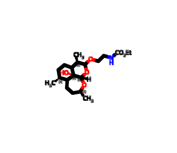 CCOC(=O)NCCOC1O[C@@H]2O[C@@H](C)CCC3[C@H](C)CCC([C@H]1C)[C@]32O